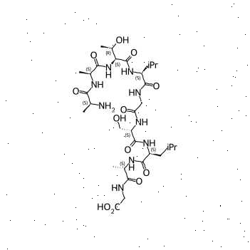 CC(C)C[C@H](NC(=O)[C@H](CO)NC(=O)CNC(=O)[C@@H](NC(=O)[C@@H](NC(=O)[C@H](C)NC(=O)[C@H](C)N)[C@@H](C)O)C(C)C)C(=O)N[C@@H](C)C(=O)NCC(=O)O